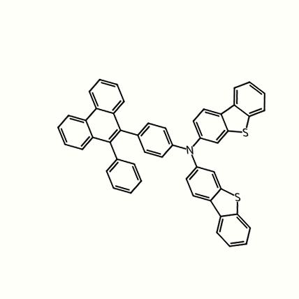 c1ccc(-c2c(-c3ccc(N(c4ccc5c(c4)sc4ccccc45)c4ccc5c(c4)sc4ccccc45)cc3)c3ccccc3c3ccccc23)cc1